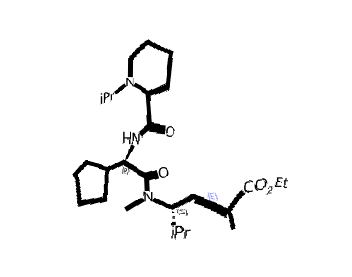 CCOC(=O)/C(C)=C/[C@H](C(C)C)N(C)C(=O)[C@H](NC(=O)C1CCCCN1C(C)C)C1CCCC1